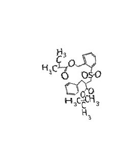 CC(C)C(=O)OCc1ccccc1S(=O)(=O)CC(Cc1ccccc1)C(=O)OC(C)(C)C